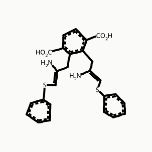 NC(=CSc1ccccc1)Cc1c(C(=O)O)ccc(C(=O)O)c1CC(N)=CSc1ccccc1